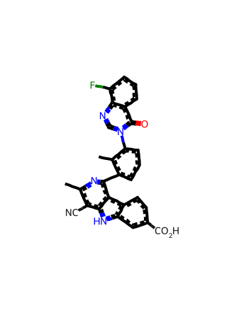 Cc1nc(-c2cccc(-n3cnc4c(F)cccc4c3=O)c2C)c2c([nH]c3cc(C(=O)O)ccc32)c1C#N